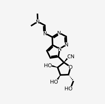 CN(C)C=Nc1ncnn2c([C@]3(C#N)O[C@H](CO)[C@@H](O)[C@H]3O)ccc12